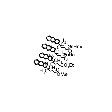 CCCCCCOC(=O)CCCC(C)(C)c1ccc2cc3ccccc3cc2c1.CCCCOC(=O)CCCC(C)(C)c1ccc2cc3ccccc3cc2c1.CCOC(=O)CCCC(C)(C)c1ccc2cc3ccccc3cc2c1.COC(=O)CCCC(C)(C)c1ccc2cc3ccccc3cc2c1